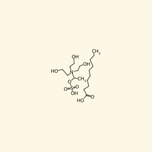 CC(OS(=O)(=O)O)[N+](CCO)(CCO)CCO.CCCCCCCCCC(=O)O